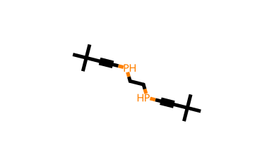 CC(C)(C)C#CPCCPC#CC(C)(C)C